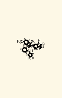 CC1(C)C(=O)Nc2cc(NC(=O)c3ccc(C(F)(F)F)cc3N[C@H]3CCCC[C@@H]3NC3CCCC3)ccc21.Cl